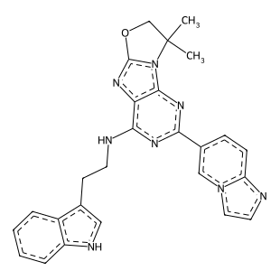 CC1(C)COc2nc3c(NCCc4c[nH]c5ccccc45)nc(-c4ccc5nccn5c4)nc3n21